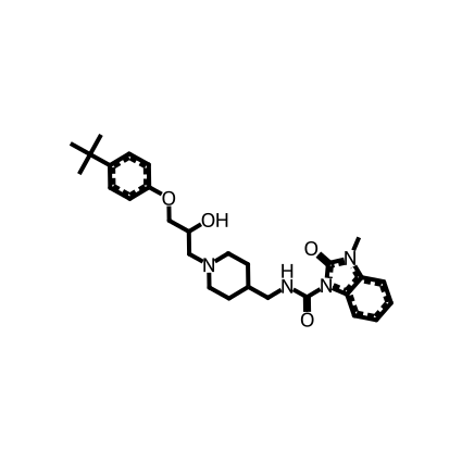 Cn1c(=O)n(C(=O)NCC2CCN(CC(O)COc3ccc(C(C)(C)C)cc3)CC2)c2ccccc21